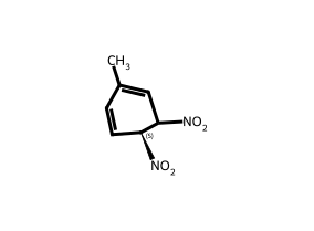 CC1=CC([N+](=O)[O-])[C@@H]([N+](=O)[O-])C=C1